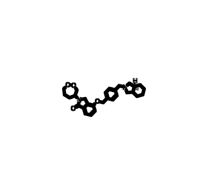 O=C1c2cccc(OCc3ccc(CN4CC5CCCC[C@@H]5C4)cc3)c2CN1C1CCCOOC1